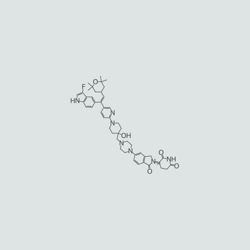 CC1(C)CC(C=C(c2ccc(N3CCC(O)(CN4CCN(c5ccc6c(c5)CN([C@@H]5CCC(=O)NC5=O)C6=O)CC4)CC3)nc2)c2ccc3[nH]cc(F)c3c2)CC(C)(C)O1